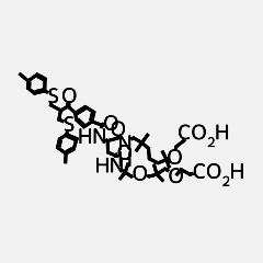 Cc1ccc(SCC(CSc2ccc(C)cc2)C(=O)c2ccc(C(=O)NC(CC(=O)NC(C)(C)COCC(C)(C)COCCC(=O)O)C(=O)NCC(C)(C)CCCC(C)(C)OCCC(=O)O)cc2)cc1